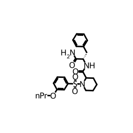 CCCOc1cccc(S(=O)(=O)N2CCCCC2C(=O)N[C@@H](Cc2ccccc2)C(N)=O)c1